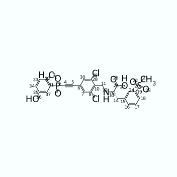 COP(=O)(C#Cc1cc(Cl)c(CN[C@@H](Cc2cccc(S(C)(=O)=O)c2)C(=O)O)c(Cl)c1)c1cccc(O)c1